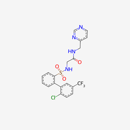 O=C(CNS(=O)(=O)c1ccccc1-c1cc(C(F)(F)F)ccc1Cl)NCc1ccncn1